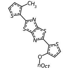 CCCCCCCCOc1ccsc1-c1nc2sc(-c3sccc3C)nc2s1